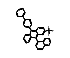 FC(F)(F)c1ccc2c(-c3ccc(-c4ccccc4)cc3)c3ccccc3c(-c3cccc4ccccc34)c2c1